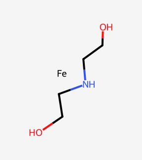 OCCNCCO.[Fe]